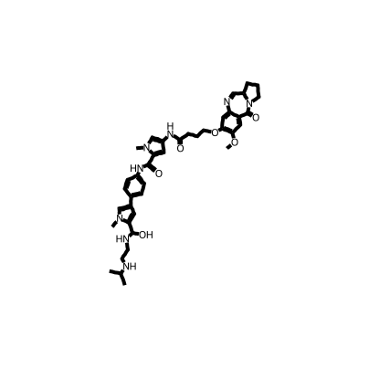 COc1cc2c(cc1OCCCC(=O)Nc1cc(C(=O)Nc3ccc(-c4cc(C(O)NCCNC(C)C)n(C)c4)cc3)n(C)c1)N=CC1CCCN1C2=O